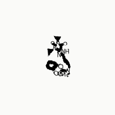 COc1ccccc1OC(=O)N(C)CC#Cc1nc2c([nH]1)c(=O)n(C1CC1)c(=O)n2C1CC1